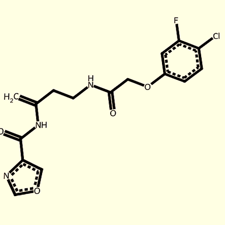 C=C(CCNC(=O)COc1ccc(Cl)c(F)c1)NC(=O)c1cocn1